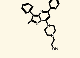 Cc1nn2c(N3CCN(CCO)CC3)cc(-c3ccccc3)nc2c1-c1ccccc1